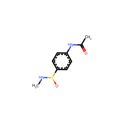 CN[S+]([O-])c1ccc(NC(C)=O)cc1